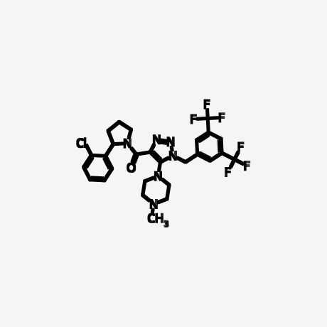 CN1CCN(c2c(C(=O)N3CCCC3c3ccccc3Cl)nnn2Cc2cc(C(F)(F)F)cc(C(F)(F)F)c2)CC1